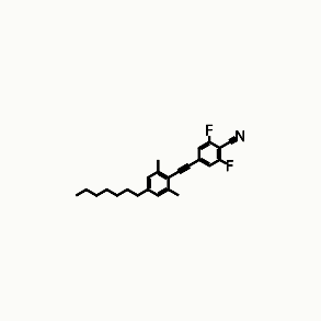 CCCCCCCc1cc(C)c(C#Cc2cc(F)c(C#N)c(F)c2)c(C)c1